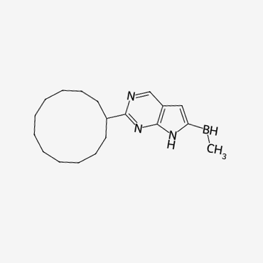 CBc1cc2cnc(C3CCCCCCCCCCC3)nc2[nH]1